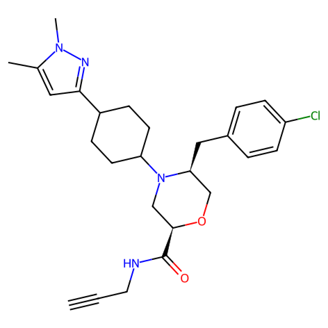 C#CCNC(=O)[C@H]1CN(C2CCC(c3cc(C)n(C)n3)CC2)[C@@H](Cc2ccc(Cl)cc2)CO1